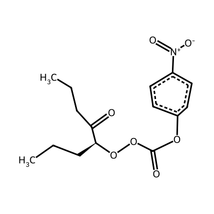 CCCC(=O)[C@H](CCC)OOC(=O)Oc1ccc([N+](=O)[O-])cc1